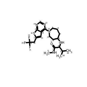 CNC(=O)C(NC1CCCN(c2ncnc3sc(CC(F)(F)F)cc23)CC1)C(C)C